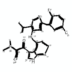 CC(C)c1cnc(-c2cc(Cl)ccc2F)cc1Nc1ccnc2[nH]cc(C(=O)C(=O)N(C)C)c12